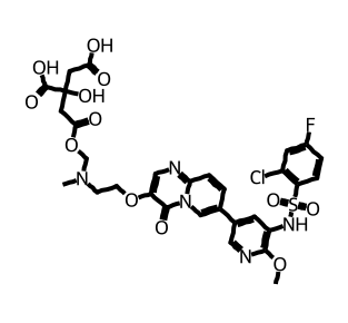 COc1ncc(-c2ccc3ncc(OCCN(C)COC(=O)CC(O)(CC(=O)O)C(=O)O)c(=O)n3c2)cc1NS(=O)(=O)c1ccc(F)cc1Cl